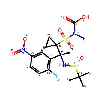 CN(C(=O)O)S(=O)(=O)C1([C@](C)(N[S@+]([O-])C(C)(C)C)c2cc([N+](=O)[O-])ccc2F)CC1